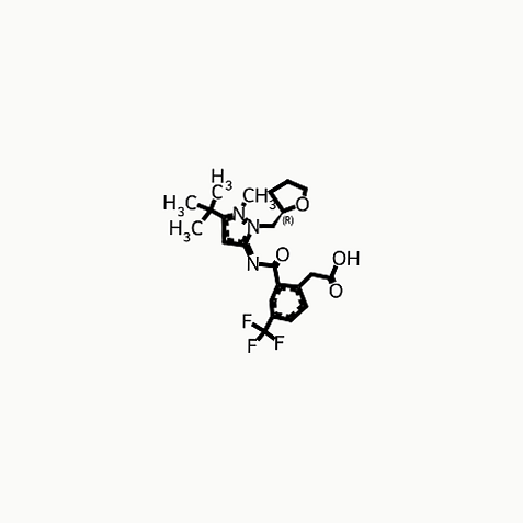 Cn1c(C(C)(C)C)cc(=NC(=O)c2cc(C(F)(F)F)ccc2CC(=O)O)n1C[C@H]1CCCO1